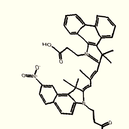 CC(=C\C1=[N+](CCC(=O)O)c2c(c3ccccc3c3ccccc23)C1(C)C)/C=C1/N(CCC(=O)O)c2ccc3ccc([N+](=O)[O-])cc3c2C1(C)C